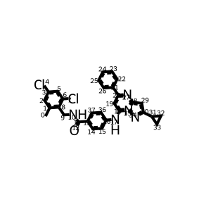 Cc1cc(Cl)cc(Cl)c1CNC(=O)c1ccc(Nc2cc(-c3ccccc3)nc3cc(C4CC4)nn23)cc1